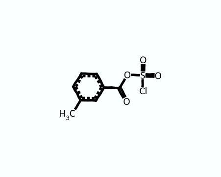 Cc1cccc(C(=O)OS(=O)(=O)Cl)c1